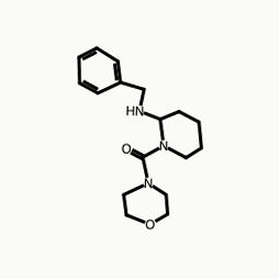 O=C(N1CCOCC1)N1CCCCC1NCc1ccccc1